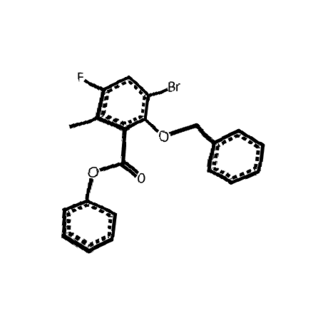 Cc1c(F)cc(Br)c(OCc2ccccc2)c1C(=O)Oc1ccccc1